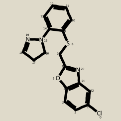 Clc1ccc2oc(CSc3ccccc3N3CCC=N3)nc2c1